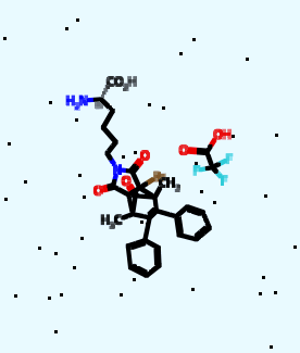 CC12C(=O)C(C)(C(c3ccccc3)=C1c1ccccc1)C1(Br)C(=O)N(CCCC[C@H](N)C(=O)O)C(=O)C21.O=C(O)C(F)(F)F